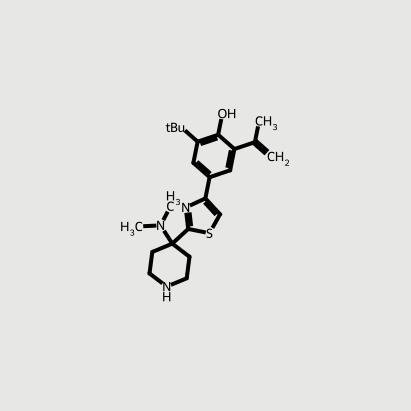 C=C(C)c1cc(-c2csc(C3(N(C)C)CCNCC3)n2)cc(C(C)(C)C)c1O